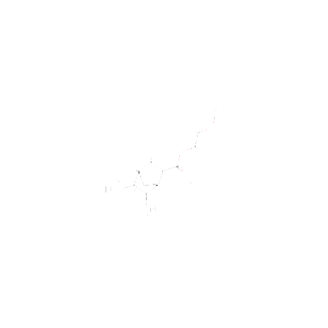 CCOCCOC(=O)C1CC2CC1C(C)C2C